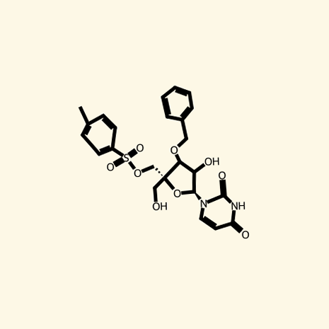 Cc1ccc(S(=O)(=O)OC[C@@]2(CO)O[C@H](n3ccc(=O)[nH]c3=O)C(O)C2OCc2ccccc2)cc1